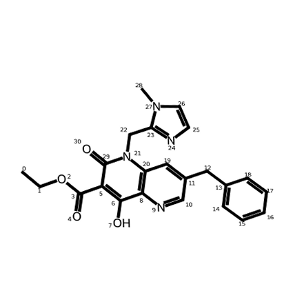 CCOC(=O)c1c(O)c2ncc(Cc3ccccc3)cc2n(Cc2nccn2C)c1=O